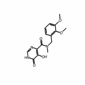 COc1cccc(CN(C)C(=O)c2nc[nH]c(=O)c2O)c1OC